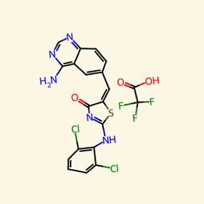 Nc1ncnc2ccc(C=C3SC(Nc4c(Cl)cccc4Cl)=NC3=O)cc12.O=C(O)C(F)(F)F